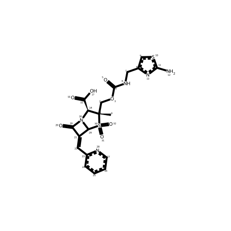 C[C@]1(COC(=O)NCc2csc(N)n2)[C@H](C(=O)O)N2C(=O)/C(=C/c3ccccn3)C2S1(=O)=O